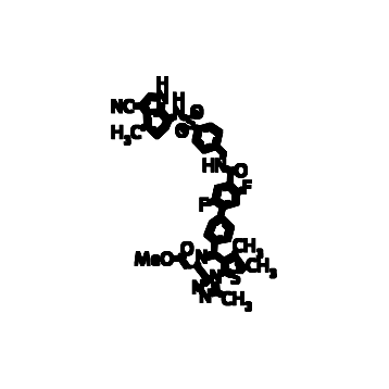 COC(=O)C[C@@H]1N=C(c2ccc(-c3cc(F)c(C(=O)NCc4ccc(S(=O)(=O)Nc5ccc(C)c6c(C#N)c[nH]c56)cc4)cc3F)cc2)c2c(sc(C)c2C)-n2c(C)nnc21